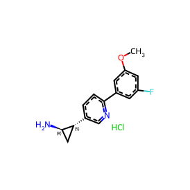 COc1cc(F)cc(-c2ccc([C@@H]3C[C@H]3N)cn2)c1.Cl